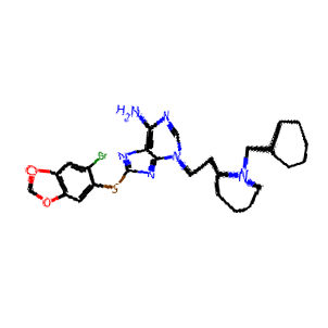 Nc1ncn(CCC2CCCCN2CC2CCCCC2)c2nc(Sc3cc4c(cc3Br)OCO4)nc1-2